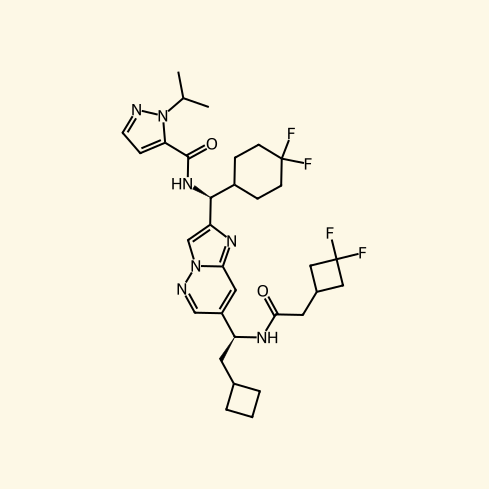 CC(C)n1nccc1C(=O)N[C@H](c1cn2ncc([C@H](CC3CCC3)NC(=O)CC3CC(F)(F)C3)cc2n1)C1CCC(F)(F)CC1